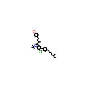 C=C(CC)CCCCc1ccc(-c2cc3c(C(=C)CCc4ccc(OC)cc4)cn(C(C)(C)C)c3cc2Cl)cc1